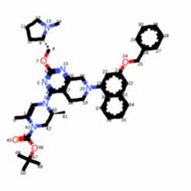 CC1=CN(c2nc(OC[C@@H]3CCCN3C)nc3c2CCN(c2cc(OCc4ccccc4)cc4ccccc24)C3)[C@@H](C)CN1C(=O)OC(C)(C)C